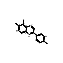 Cc1ccc(-c2cnc3c(C)c(C)ccc3n2)cc1